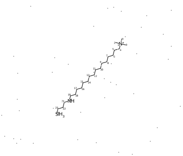 C[N+](C)(C)CCCCCCCCCCCCCCCCNCCC[SiH3]